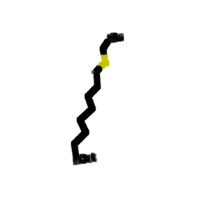 CCCCCCCCCCCCCC[CH]SCC(C)(C)C